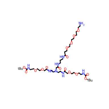 CC(C)(C)OC(=O)NCCOCCOCC(=O)NCCN(CCNC(=O)COCCOCCNC(=O)OC(C)(C)C)CC(=O)NCCCNC(=O)CCOCCOCCOCCOCCN